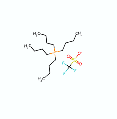 CCCC[P+](CCCC)(CCCC)CCCC.O=S(=O)([O-])C(F)(F)F